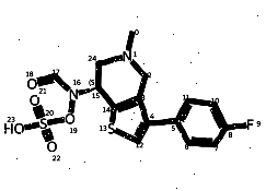 CN1Cc2c(-c3ccc(F)cc3)csc2[C@@H](N(C=O)OS(=O)(=O)O)C1